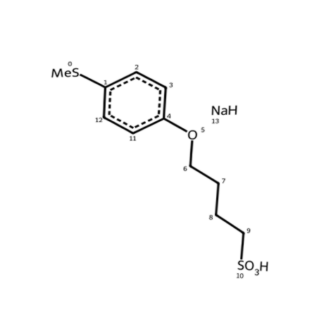 CSc1ccc(OCCCCS(=O)(=O)O)cc1.[NaH]